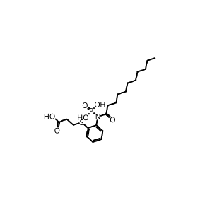 CCCCCCCCCCC(=O)N(c1ccccc1SCCC(=O)O)P(=O)(O)O